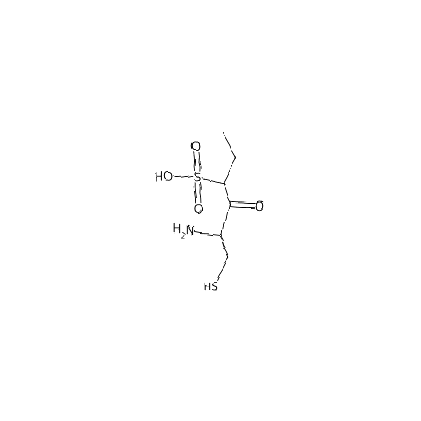 CCC(C(=O)C(N)CS)S(=O)(=O)O